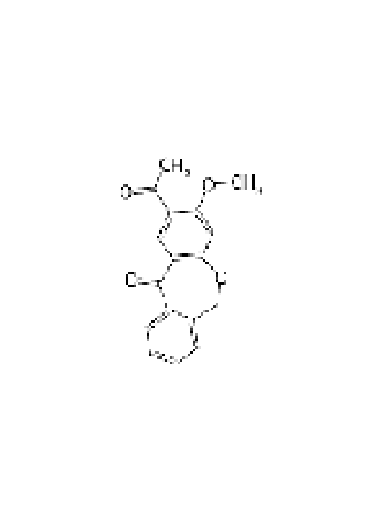 COc1cc2c(cc1C(C)=O)C(=O)c1ccccc1CO2